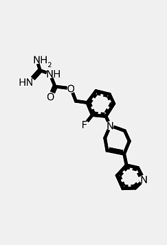 N=C(N)NC(=O)OCc1cccc(N2CC=C(c3cccnc3)CC2)c1F